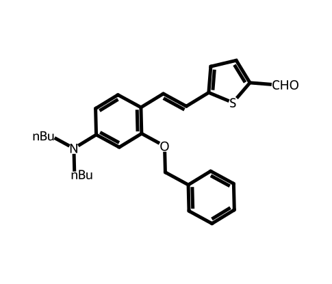 CCCCN(CCCC)c1ccc(/C=C/c2ccc(C=O)s2)c(OCc2ccccc2)c1